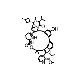 CCn1c(-c2cccnc2[C@H](C)OC)c2c3cc(ccc31)-c1cc(O)cc(c1)C[C@H](NC(=O)[C@H](C(C)C)N(C)C(=O)[C@H]1C[C@H](C)C1)C(=O)N1CCC[C@@](O)(N1)C(=O)OCC(C)(C)C2